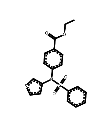 CCOC(=O)c1ccc(N(c2ccsc2)S(=O)(=O)c2ccccc2)cc1